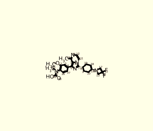 COc1cc(-c2nc([C@H]3CC[C@H](N4CC(F)(F)C4)CC3)n3ccnc(C)c23)ccc1N(C)C(=O)O